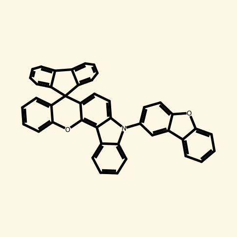 c1ccc2c(c1)Oc1c(ccc3c1c1ccccc1n3-c1ccc3oc4ccccc4c3c1)C21c2ccccc2-c2ccccc21